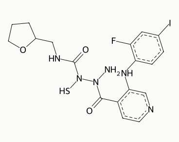 NN(C(=O)c1ccncc1Nc1ccc(I)cc1F)N(S)C(=O)NCC1CCCO1